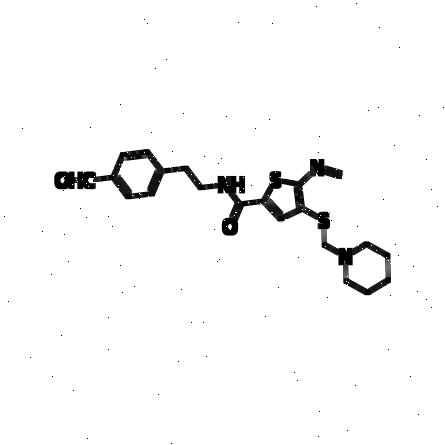 C=Nc1sc(C(=O)NCCc2ccc(C=O)cc2)cc1SCN1CCCCC1